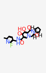 Cc1ccc(CNC(=O)c2cn3c(c(O)c2=O)C(=O)N2[C@H]4CC[C@H](C4)O[C@@H]2C3)c(F)n1